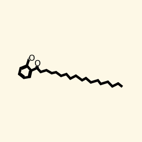 CCCCCCCCCCCCCCCCCC(=O)c1ccccc1[C]=O